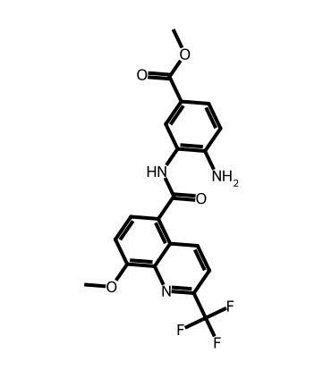 COC(=O)c1ccc(N)c(NC(=O)c2ccc(OC)c3nc(C(F)(F)F)ccc23)c1